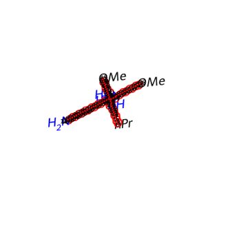 CCCOCCOCCOCCOCCOCCOCCNC(=O)CCOCC(COCCC(=O)NCCOCCOCCOCCOCCOC)(COCCC(=O)NCCOCCOCCOCCOCCOCCOCCOCCOC)NC(=O)CCOCCOCCOCCOCCOCCOCCOCCOCCOCCOCCOCCOCCN